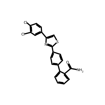 NC(=O)c1ccccc1-c1ccc(-c2nc(-c3ccc(Cl)c(Cl)c3)cs2)cc1